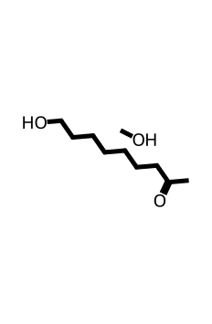 CC(=O)CCCCCCCO.CO